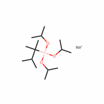 CC(C)O[B-](OC(C)C)(OC(C)C)C(C)(C)C(C)C.[Na+]